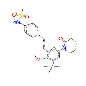 COc1c(/C=C/c2ccc(NS(C)(=O)=O)cc2)cc(N2CCCCC2=O)cc1C(C)(C)C